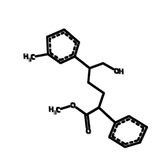 COC(=O)C(CCC(CO)c1cccc(C)c1)c1ccccc1